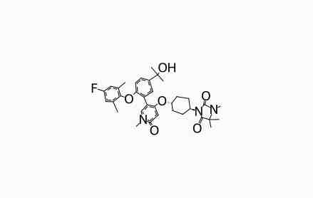 Cc1cc(F)cc(C)c1Oc1ccc(C(C)(C)O)cc1-c1cn(C)c(=O)cc1O[C@H]1CC[C@H](N2C(=O)N(C)C(C)(C)C2=O)CC1